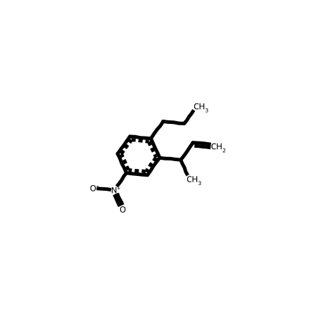 C=C[C](C)c1cc([N+](=O)[O-])ccc1CCC